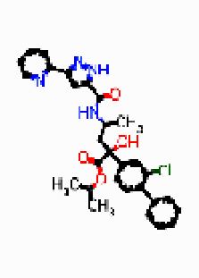 CC(CC(O)(C(=O)OC(C)C)c1ccc(-c2ccccc2)c(Cl)c1)NC(=O)c1cc(-c2ccccn2)n[nH]1